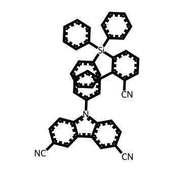 N#Cc1ccc2c(c1)c1cc(C#N)ccc1n2-c1cccc(-c2c(C#N)cccc2[Si](c2ccccc2)(c2ccccc2)c2ccccc2)c1